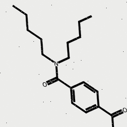 CCCCCN(CCCCC)C(=O)c1ccc(C(=O)O)cc1